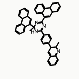 CC1N=c2ccccc2=CC1c1ccc(C2=NC(C3=CC4C=CC=CC4c4ccccc43)=NC(C)(C3=CC4C=CC=CC4c4ccccc43)N2)cc1